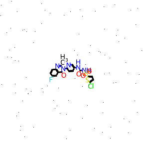 Cc1nc2ccc(F)cc2c(=O)n1-c1ccc(NC(=O)NS(=O)(=O)c2ccc(Cl)s2)cn1